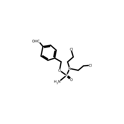 NP(=O)(OCc1ccc(C=O)cc1)N(CCCl)CCCl